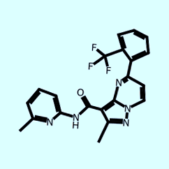 Cc1cccc(NC(=O)c2c(C)nn3ccc(-c4ccccc4C(F)(F)F)nc23)n1